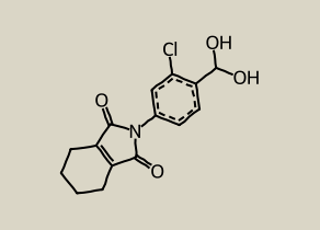 O=C1C2=C(CCCC2)C(=O)N1c1ccc(C(O)O)c(Cl)c1